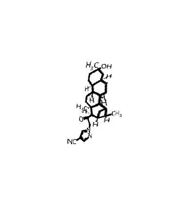 C[C@H]1C2C[C@H]1[C@@H](C(=O)Cn1cc(C#N)cn1)[C@@]1(C)CC[C@H]3[C@@H](CC[C@@H]4C[C@](C)(O)CC[C@@H]43)[C@H]21